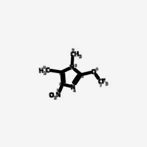 Cc1c([N+](=O)[O-])nc(OC(F)(F)F)n1C